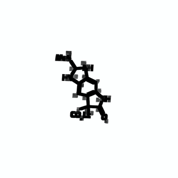 CCOC(=O)C1(C)C(=O)Nc2cc3c(cc21)NC(SC)N3